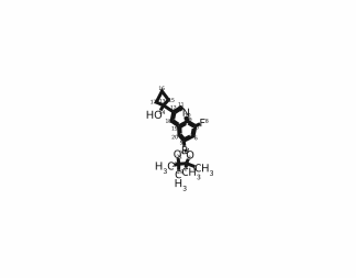 CC1(C)OB(c2cc(F)c3ncc(C4(O)CCC4)cc3c2)OC1(C)C